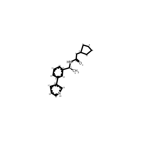 C[C@H](NC(=O)CC1CCCC1)c1cccc(-c2cccnc2)c1